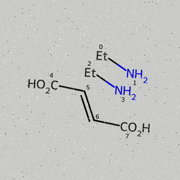 CCN.CCN.O=C(O)C=CC(=O)O